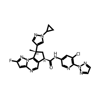 C[C@@]1(c2cnn(C3CC3)c2)C[C@@H](C(=O)Nc2cnc(-n3nccn3)c(Cl)c2)c2cnc3cc(F)nn3c21